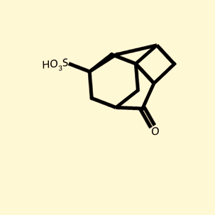 O=C1C2CC34CC(S(=O)(=O)O)(C2)CC3CC14